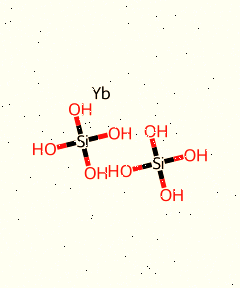 O[Si](O)(O)O.O[Si](O)(O)O.[Yb]